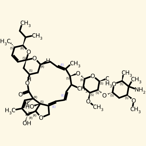 CCC(C)[C@H]1O[C@]2(C=C[C@@H]1C)C[C@@H]1C[C@@H](C/C=C(\C)[C@@H](O[C@H]3C[C@H](OC)[C@@H](O[C@H]4C[C@H](OC)C(C)(N)[C@H](C)O4)[C@H](C)O3)C(C)/C=C/C=C3\CO[C@@H]4[C@H](O)C(C)=C[C@@H](C(=O)O1)[C@]34O)O2